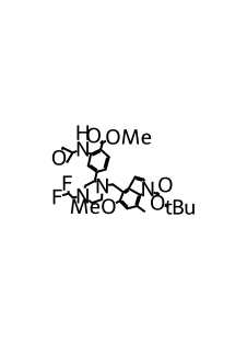 COC(=O)c1ccc(C2CN(CC(F)F)CCN2Cc2c(OC)cc(C)c3c2ccn3C(=O)OC(C)(C)C)cc1NC1COC1